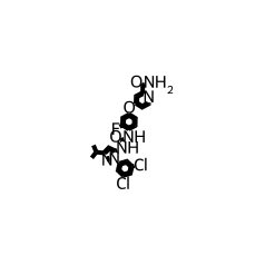 CC(C)c1cc(NC(=O)Nc2ccc(Oc3ccnc(C(N)=O)c3)cc2F)n(-c2cc(Cl)cc(Cl)c2)n1